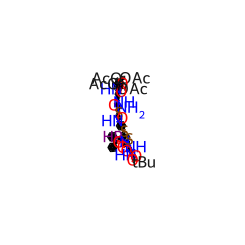 CC(=O)OCC1O[C@H](OC(C)=O)[C@H](NC(=O)CCCNC(=O)C(N)CSCC(=O)Nc2ccc(SCC3=C(C(=P)OC(c4ccccc4)c4ccccc4)N4C(=O)C(NC(=O)CNC(=O)OC(C)(C)C)C4SC3)cc2)[C@H](OC(C)=O)C1OC(C)=O